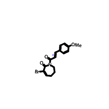 COc1ccc(/C=C/C(=O)N2CCCC=C(Br)C2=O)cc1